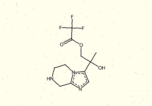 CC(O)(COC(=O)C(F)(F)F)c1cnc2n1CCNC2